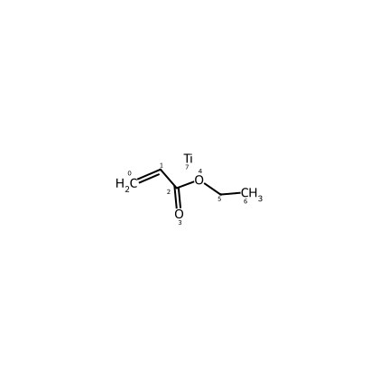 C=CC(=O)OCC.[Ti]